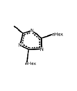 CCCCCCc1nc(C)nc(CCCCCC)n1